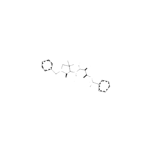 CCCC[C@@H](C(=O)C(=O)N[C@H](C)c1ccccc1)N(C(=O)O)C1C(=O)N(Cc2ccccc2)CC1(C)C